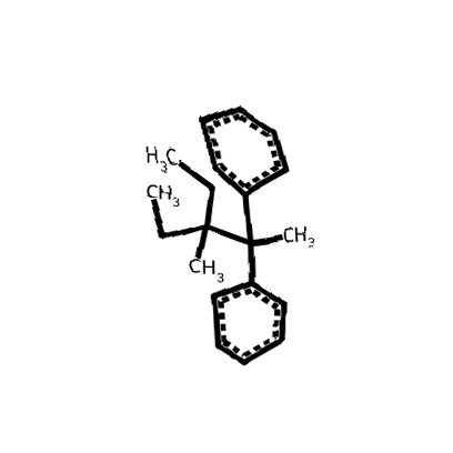 CCC(C)(CC)C(C)(c1ccccc1)c1ccccc1